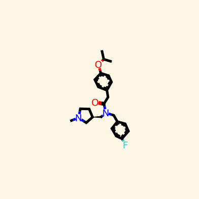 CC(C)Oc1ccc(CC(=O)N(Cc2ccc(F)cc2)C[C@@H]2CCN(C)C2)cc1